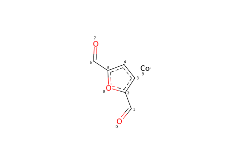 O=Cc1ccc(C=O)o1.[Co]